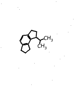 CC(C)[C]1CCc2ccc3c(c21)CCC3